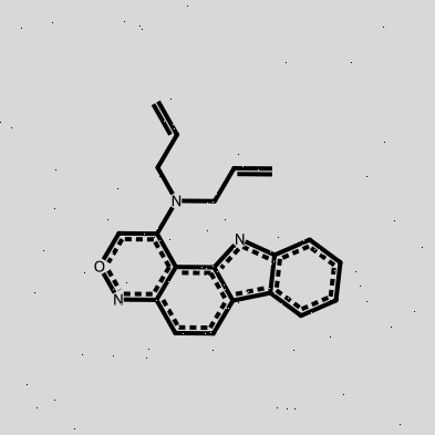 C=CCN(CC=C)c1conc2ccc3c4ccccc4nc3c12